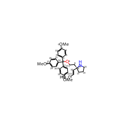 COc1ccc(C(OCC[C@]2(/C=C/C(=O)O)CCCN2)(c2ccc(OC)cc2)c2ccc(OC)cc2)cc1